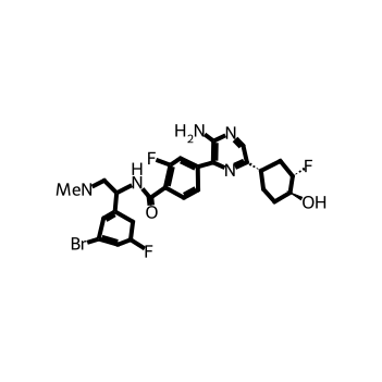 CNCC(NC(=O)c1ccc(-c2nc([C@H]3CC[C@H](O)[C@@H](F)C3)cnc2N)cc1F)C1=CC(Br)=CC(F)C1